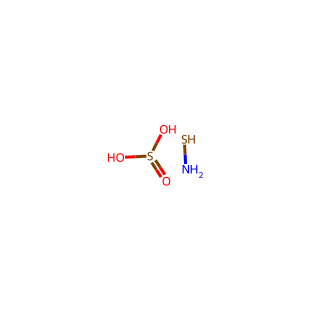 NS.O=S(O)O